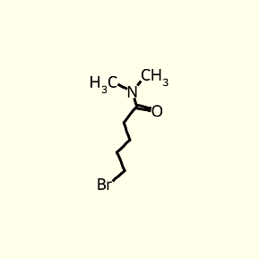 CN(C)C(=O)CCCCBr